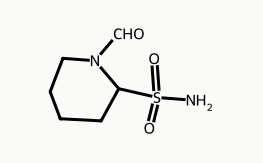 NS(=O)(=O)C1CCCCN1C=O